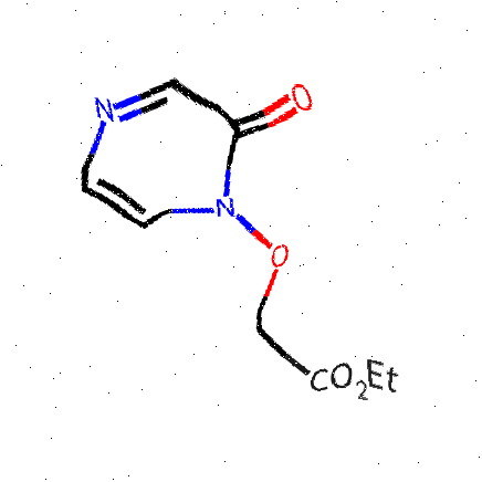 CCOC(=O)COn1ccncc1=O